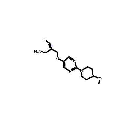 COC1CCN(c2ncc(OC/C(=C/F)CN)cn2)CC1